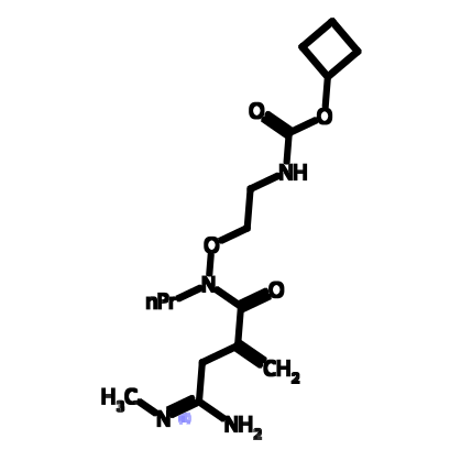 C=C(C/C(N)=N\C)C(=O)N(CCC)OCCNC(=O)OC1CCC1